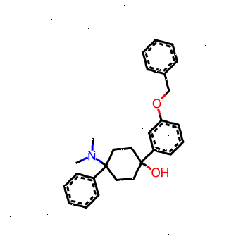 CN(C)C1(c2ccccc2)CCC(O)(c2cccc(OCc3ccccc3)c2)CC1